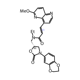 CCN(C[C@@H]1CN(c2ccc3c(c2)OCCO3)C(=O)O1)C(=O)/C=C/c1ccnc2ccc(OC)nc12